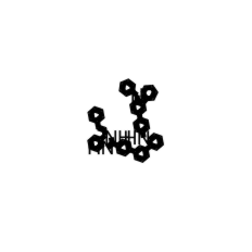 N=C(NC(/C=C/c1ccccc1)c1ccccc1)c1ccc(-c2cccc(-c3ccccc3Nc3ccc(-c4ccc5c(c4)c4c(n5-c5ccccc5)CCC=C4)cc3)c2)cc1